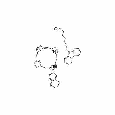 C1=Cc2cc3ccc(cc4nc(cc5ccc(cc1n2)[nH]5)C=C4)[nH]3.CCCCCCCCCCCCCCCCn1c2ccccc2c2ccccc21.c1ccc2nccnc2c1